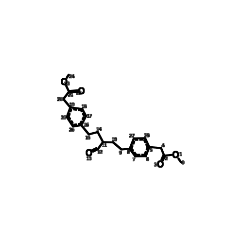 COC(=O)Cc1ccc(CCC(C=O)CCc2ccc(CC(=O)OC)cc2)cc1